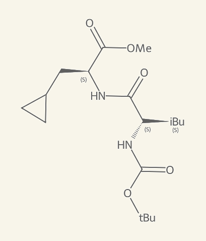 CC[C@H](C)[C@H](NC(=O)OC(C)(C)C)C(=O)N[C@@H](CC1CC1)C(=O)OC